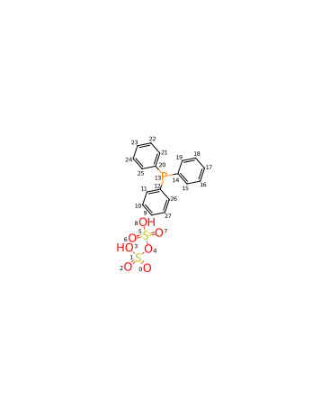 O=S(=O)(O)OS(=O)(=O)O.c1ccc(P(c2ccccc2)c2ccccc2)cc1